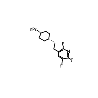 CCC[C@H]1CC[C@H](CCc2cc(F)c(F)nc2F)CC1